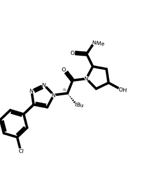 CNC(=O)C1CC(O)CN1C(=O)[C@@H](n1cc(-c2cccc(Cl)c2)nn1)C(C)(C)C